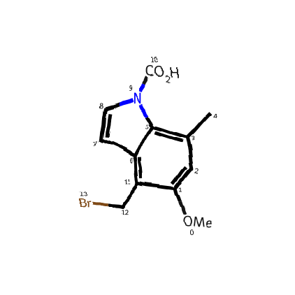 COc1cc(C)c2c(ccn2C(=O)O)c1CBr